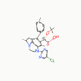 Cc1ccc(-c2c([C@H](OC(C)(C)C)C(=O)O)c(C)c3c4c2cc(C)n4CCN3c2ncc(Cl)cn2)cc1